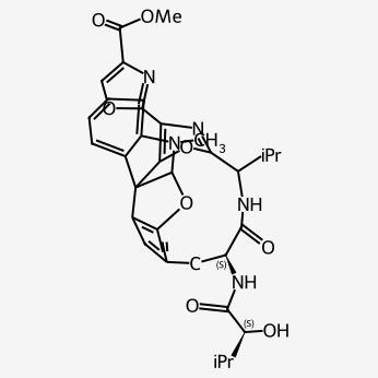 COC(=O)c1coc(-c2nc3oc2C24c5cc(ccc5OC2N(C)c2ccccc24)C[C@H](NC(=O)[C@@H](O)C(C)C)C(=O)NC3C(C)C)n1